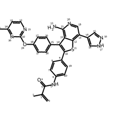 C=C(C)C(=O)Nc1ccc(-c2sc3c(-c4cn[nH]c4)cnc(N)c3c2-c2ccc(Oc3nccc(C)n3)cc2)cc1